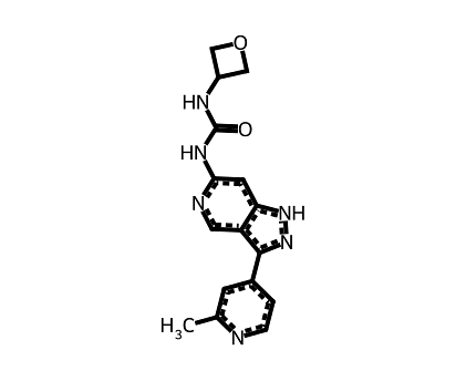 Cc1cc(-c2n[nH]c3cc(NC(=O)NC4COC4)ncc23)ccn1